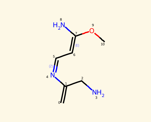 C=C(CN)/N=C\C=C(/N)OC